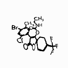 CCNC(=O)OC1=C(c2cc(C)c(Br)cc2Cl)C(=O)OC12CCC(C(F)(F)F)CC2